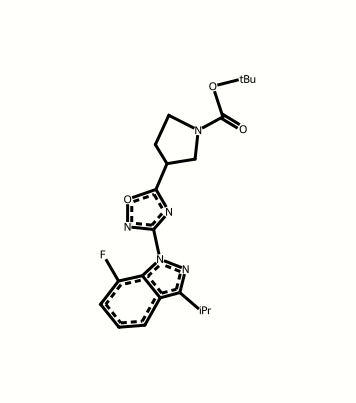 CC(C)c1nn(-c2noc(C3CCN(C(=O)OC(C)(C)C)C3)n2)c2c(F)cccc12